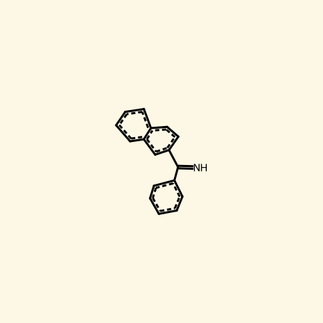 N=C(c1ccccc1)c1ccc2ccccc2c1